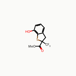 COC(=O)C1(C(F)(F)F)Cc2cccc(O)c2S1